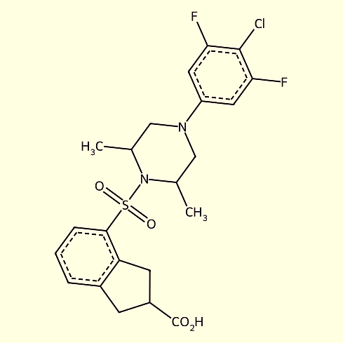 CC1CN(c2cc(F)c(Cl)c(F)c2)CC(C)N1S(=O)(=O)c1cccc2c1CC(C(=O)O)C2